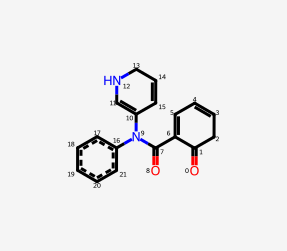 O=C1CC=CC=C1C(=O)N(C1=CNCC=C1)c1ccccc1